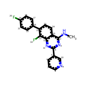 CNc1nc(-c2cccnc2)nc2c(F)c(-c3ccc(F)cc3)ccc12